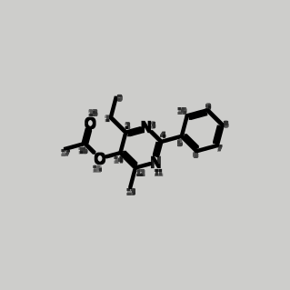 CCc1nc(-c2ccccc2)nc(C)c1OC(C)=O